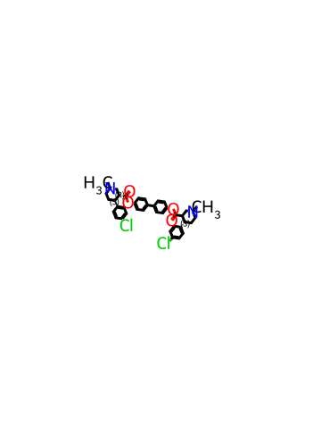 CN1CC[C@H](c2ccc(Cl)cc2)C(C(=O)Oc2ccc(-c3ccc(OC(=O)[C@H]4CN(C)CC[C@@H]4c4ccc(Cl)cc4)cc3)cc2)C1